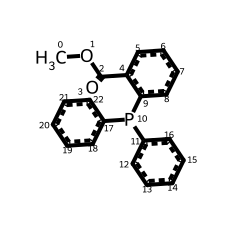 COC(=O)c1ccccc1P(c1ccccc1)c1ccccc1